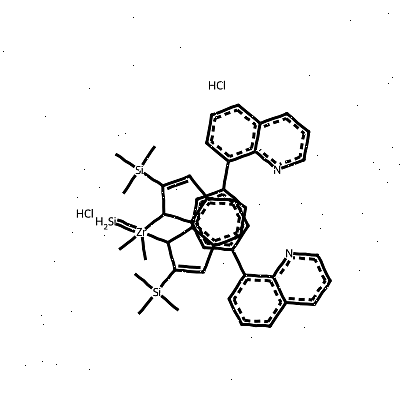 C[Si](C)(C)C1=Cc2ccc(-c3cccc4cccnc34)cc2[CH]1[Zr]([CH3])([CH3])(=[SiH2])[CH]1C([Si](C)(C)C)=Cc2ccc(-c3cccc4cccnc34)cc21.Cl.Cl